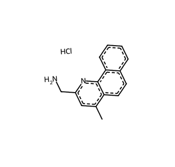 Cc1cc(CN)nc2c1ccc1ccccc12.Cl